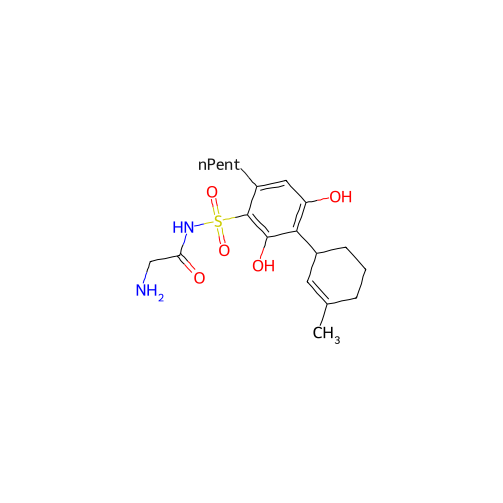 CCCCCc1cc(O)c(C2C=C(C)CCC2)c(O)c1S(=O)(=O)NC(=O)CN